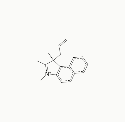 C=CCC1(C)C(C)=[N+](C)c2ccc3ccccc3c21